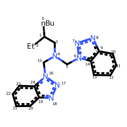 CCCCC(CC)CN(Cn1nnc2ccccc21)Cn1nnc2ccccc21